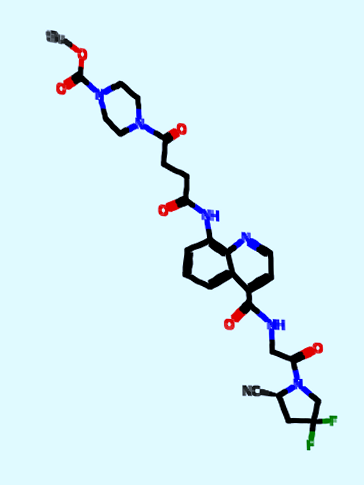 CC(C)(C)OC(=O)N1CCN(C(=O)CCC(=O)Nc2cccc3c(C(=O)NCC(=O)N4CC(F)(F)C[C@H]4C#N)ccnc23)CC1